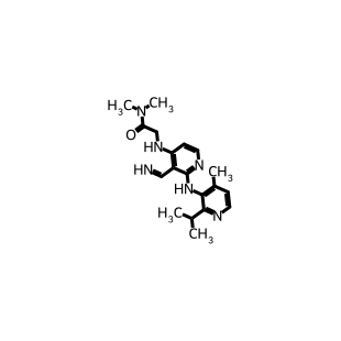 Cc1ccnc(C(C)C)c1Nc1nccc(NCC(=O)N(C)C)c1C=N